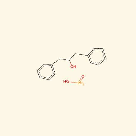 O=[PH2]O.OC(Cc1ccccc1)Cc1ccccc1